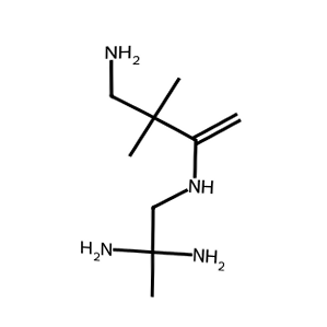 C=C(NCC(C)(N)N)C(C)(C)CN